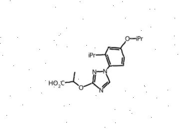 CC(C)Oc1ccc(-n2cnc(OC(C)C(=O)O)n2)c(C(C)C)c1